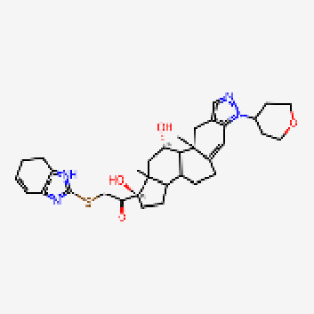 CC12Cc3cnn(C4CCOCC4)c3C=C1CCC1C2[C@@H](O)CC2(C)C1CC[C@]2(O)C(=O)CSc1nc2c([nH]1)CCC=C2